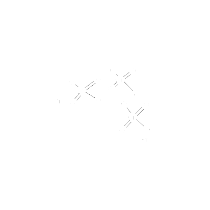 [O]=[Cr](=[O])([O-])[O-].[O]=[Cr](=[O])([O-])[O-].[O]=[Cr](=[O])([O-])[O-].[Pr+3].[Pr+3]